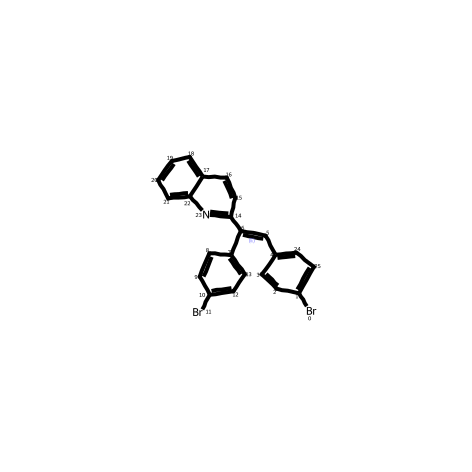 Brc1ccc(/C=C(\c2ccc(Br)cc2)c2ccc3ccccc3n2)cc1